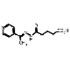 CC(=NNC(=O)CCCC(=O)O)c1ccncc1